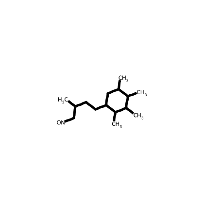 CC(CCC1CC(C)C(C)C(C)C1C)CN=O